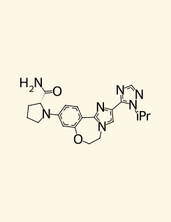 CC(C)n1ncnc1-c1cn2c(n1)-c1ccc(N3CCC[C@@H]3C(N)=O)cc1OCC2